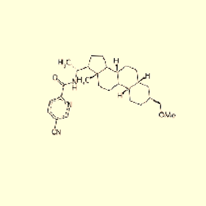 COC[C@H]1CC[C@@H]2C3CC[C@@]4(C)C(CCC4[C@@H](C)NC(=O)c4ccc(C#N)cn4)[C@@H]3CC[C@@H]2C1